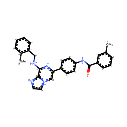 COc1cccc(C(=O)Nc2ccc(-c3cn4ccnc4c(NCc4ccccc4OC)n3)cc2)c1